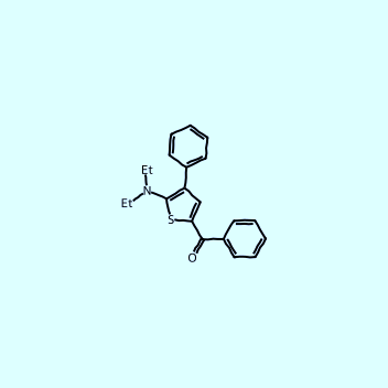 CCN(CC)c1sc(C(=O)c2ccccc2)cc1-c1ccccc1